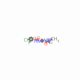 Cc1nc(C(=O)NC23CC(NC(=O)COc4ccc(Cl)c(F)c4)(C2)C3)cs1